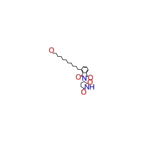 O=CCCCCCCCCCCc1cccc2c1C(=O)N(C1CCC(=O)NC1=O)C2=O